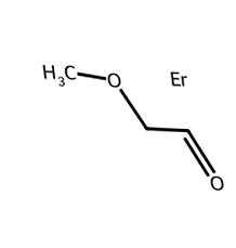 COCC=O.[Er]